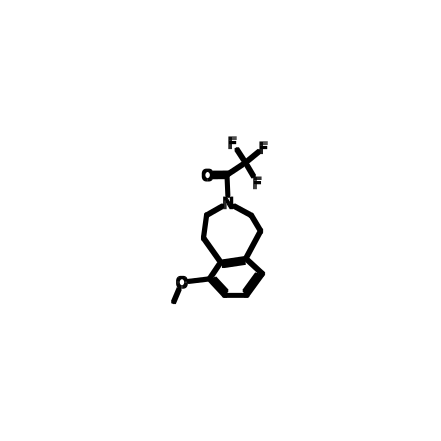 COc1cccc2c1CCN(C(=O)C(F)(F)F)CC2